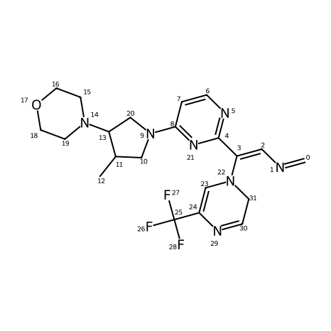 C=N/C=C(/c1nccc(N2CC(C)C(N3CCOCC3)C2)n1)N1C=C(C(F)(F)F)N=CC1